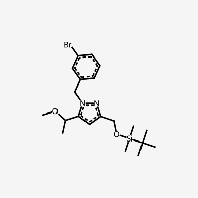 COC(C)c1cc(CO[Si](C)(C)C(C)(C)C)nn1Cc1cccc(Br)c1